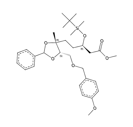 COC(=O)C[C@@H](CC[C@@]1(C)OC(c2ccccc2)O[C@H]1COCc1ccc(OC)cc1)O[Si](C)(C)C(C)(C)C